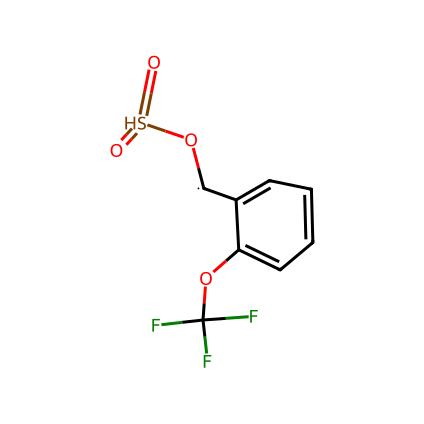 O=[SH](=O)O[CH]c1ccccc1OC(F)(F)F